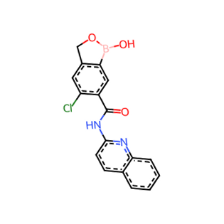 O=C(Nc1ccc2ccccc2n1)c1cc2c(cc1Cl)COB2O